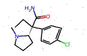 CCC(C(N)=O)(c1ccc(Cl)cc1)[C@@H]1CCCN1C